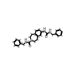 O=C(NCc1ccccc1)Nc1ccc2c(c1)CCN(C(=O)NCc1ccccc1)CC2